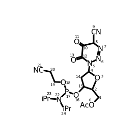 CC(=O)OCC1OC(N2N=NC(C#N)C(=O)C2=O)CC1OP(OCCC#N)N(C(C)C)C(C)C